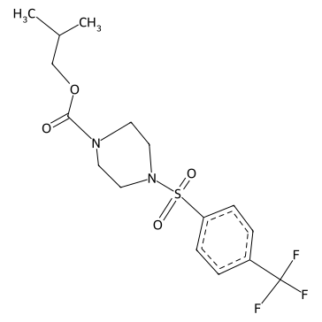 CC(C)COC(=O)N1CCN(S(=O)(=O)c2ccc(C(F)(F)F)cc2)CC1